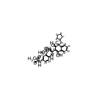 CC1(CC2CCCC2)C(=O)C(C2=NS(O)(O)c3cc(NS(C)(=O)=O)ccc3N2)=C(O)c2ccccc21